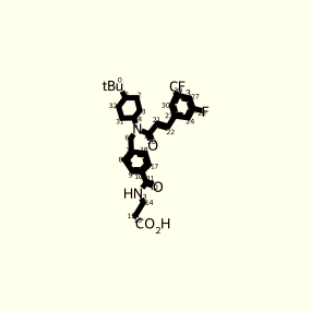 CC(C)(C)C1CCC(N(Cc2ccc(C(=O)NCCC(=O)O)cc2)C(=O)/C=C/c2cc(F)cc(C(F)(F)F)c2)CC1